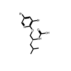 CC(C)C[C@@H](COc1ncc(Br)cc1Br)NC(=O)O